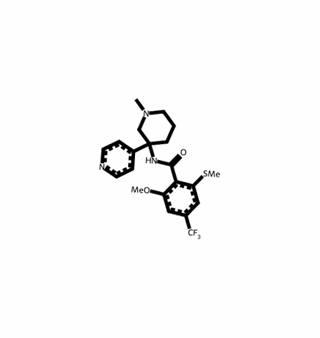 COc1cc(C(F)(F)F)cc(SC)c1C(=O)NC1(c2ccncc2)CCCN(C)C1